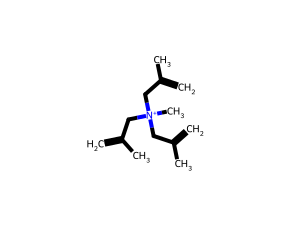 C=C(C)C[N+](C)(CC(=C)C)CC(=C)C